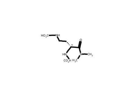 CN(C)C(=O)[C@@H](CCNC(=O)O)NC(=O)O